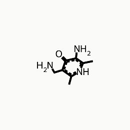 Cc1[nH]c(C)c(CN)c(=O)c1N